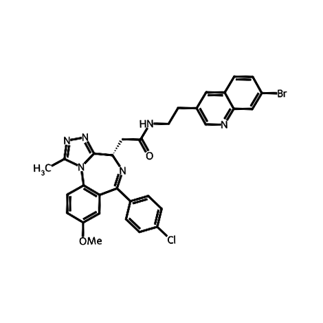 COc1ccc2c(c1)C(c1ccc(Cl)cc1)=N[C@@H](CC(=O)NCCc1cnc3cc(Br)ccc3c1)c1nnc(C)n1-2